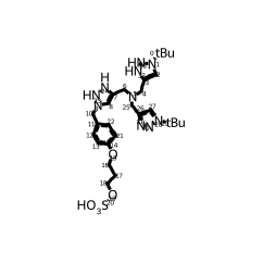 CC(C)(C)N1C=C(CN(CC2=CN(Cc3ccc(OCCCOS(=O)(=O)O)cc3)NN2)Cc2cn(C(C)(C)C)nn2)NN1